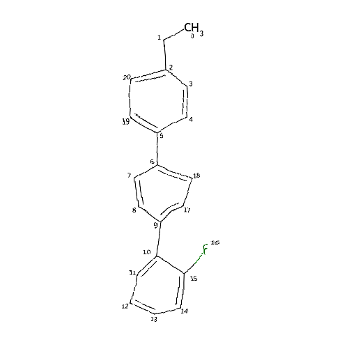 CCc1ccc(-c2ccc(-c3ccccc3F)cc2)cc1